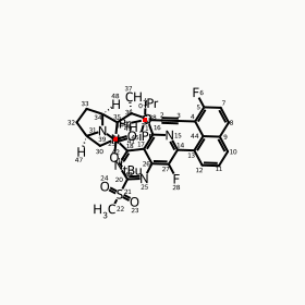 CC(C)[Si](C#Cc1c(F)ccc2cccc(-c3nc4c5c(nc(S(C)(=O)=O)nc5c3F)N3C[C@H]5CC[C@@H]([C@H]3[C@H](C)O4)N5C(=O)OC(C)(C)C)c12)(C(C)C)C(C)C